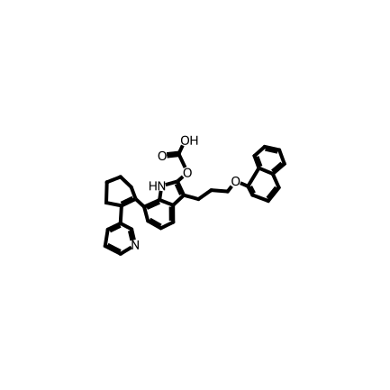 O=C(O)Oc1[nH]c2c(C3=C(c4cccnc4)CCCC3)cccc2c1CCCOc1cccc2ccccc12